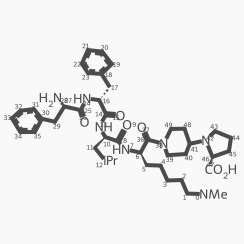 CNCCCCC[C@@H](NC(=O)[C@@H](CC(C)C)NC(=O)[C@@H](Cc1ccccc1)NC(=O)[C@H](N)Cc1ccccc1)C(=O)N1CCC(N2CCC[C@H]2C(=O)O)CC1